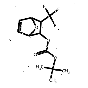 CC(C)(C)OC(=O)OC1C2C=CC(O2)C1C(F)(F)F